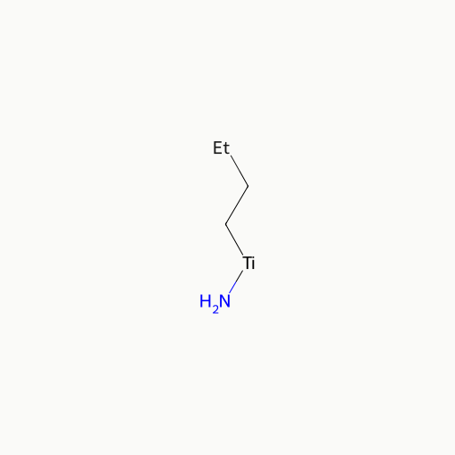 CCC[CH2][Ti][NH2]